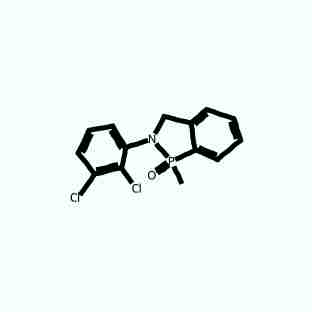 CP1(=O)c2ccccc2CN1c1cccc(Cl)c1Cl